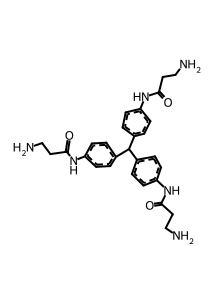 NCCC(=O)Nc1ccc(C(c2ccc(NC(=O)CCN)cc2)c2ccc(NC(=O)CCN)cc2)cc1